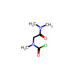 CN(C)C(=O)CN(C)C(=O)Cl